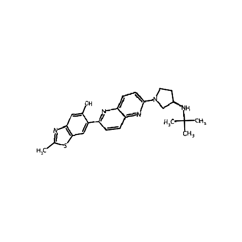 Cc1nc2cc(O)c(-c3ccc4nc(N5CCC(NC(C)(C)C)C5)ccc4n3)cc2s1